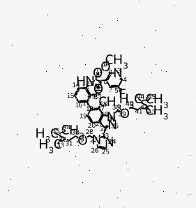 COc1ncc(F)cc1S(=O)(=O)Nc1cccc(-c2ccc3c(-c4nccn4COCCS(C)(C)C)nn(COCCS(C)(C)C)c3c2C)c1F